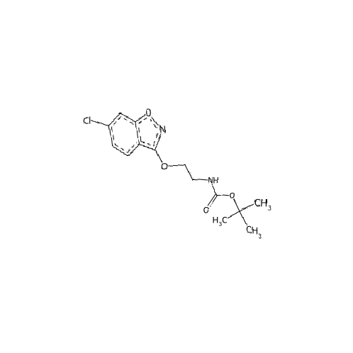 CC(C)(C)OC(=O)NCCOc1noc2cc(Cl)ccc12